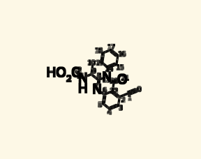 C#Cc1cccc2nc(C(C)NC(=O)O)n(-c3ccccc3)c(=O)c12